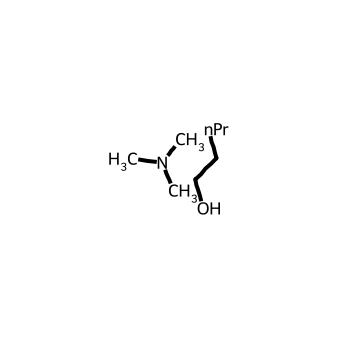 CCCCCO.CN(C)C